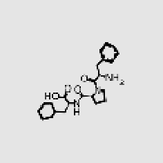 N[C@H](Cc1ccccc1)C(=O)N1CCC[C@H]1C(=O)N[C@@H](CC1CCCCC1)C(=O)O